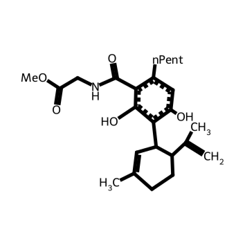 C=C(C)C1CCC(C)=CC1c1c(O)cc(CCCCC)c(C(=O)NCC(=O)OC)c1O